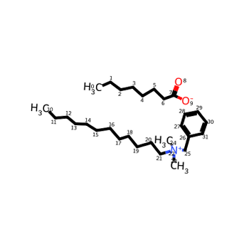 CCCCCCCC(=O)[O-].CCCCCCCCCCCC[N+](C)(C)Cc1ccccc1